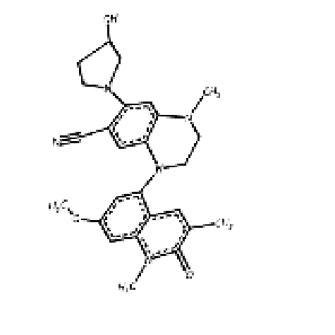 COc1cc(N2CCN(C)c3cc(N4CCC(O)C4)c(C#N)cc32)c2cc(C)c(=O)n(C)c2c1